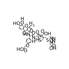 Cc1oc2c(O)c(O)ccc2c(=O)c1C(=O)NC(C(=O)N[C@@H]1C(=O)N2C(C(=O)O)=C(CSc3nnnn3CC(=O)O)CS[C@@H]12)c1ccc(OCC(=O)O)cc1